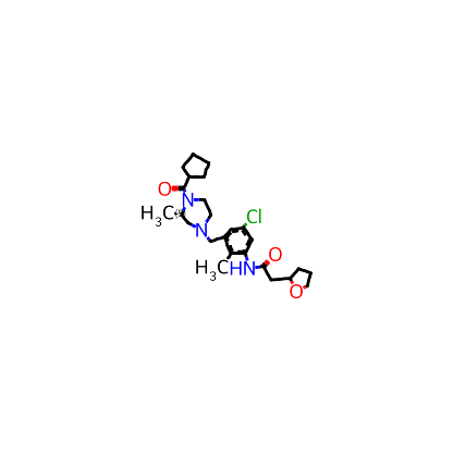 Cc1c(CN2CCN(C(=O)C3CCCC3)[C@@H](C)C2)cc(Cl)cc1NC(=O)CC1CCCO1